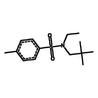 CCN(CC(C)(C)C)S(=O)(=O)c1ccc(C)cc1